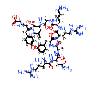 CC(C)C[C@H](NC(=O)[C@H](C)NC(=O)[C@H](CCCCN)NC(=O)[C@H](CCCNC(=N)N)NC(=O)[C@H](Cc1ccccc1)NC(=O)[C@H](C)NC(=O)[C@H](CC(N)=O)NC(=O)[C@@H](N)CCCNC(=N)N)C(=O)N[C@@H](Cc1ccc(O)cc1)C(=O)NCC(=O)O